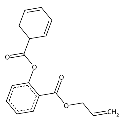 C=CCOC(=O)c1ccccc1OC(=O)C1C=CC=CC1